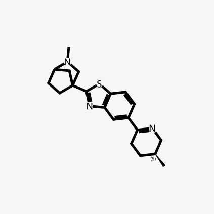 C[C@H]1CCC(c2ccc3sc(C45CCC(C4)N(C)C5)nc3c2)=NC1